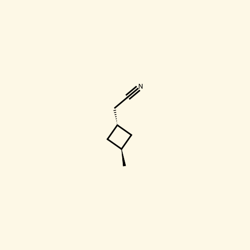 C[C@H]1C[C@H](CC#N)C1